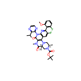 COc1cccc(F)c1-c1nc2c(cc1F)c1c(c(=O)n2-c2nccnc2C(C)C)N(C)C(=O)[C@H]2CN(C(=O)OC(C)(C)C)[C@H](C)CN12